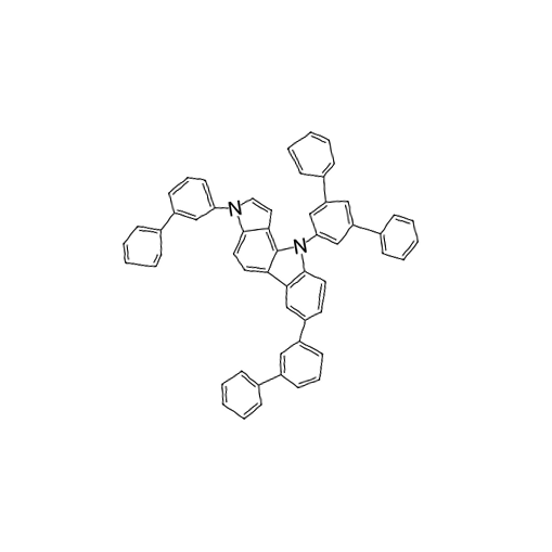 c1ccc(-c2cccc(-c3ccc4c(c3)c3ccc5c(ccn5-c5cccc(-c6ccccc6)c5)c3n4-c3cc(-c4ccccc4)cc(-c4ccccc4)c3)c2)cc1